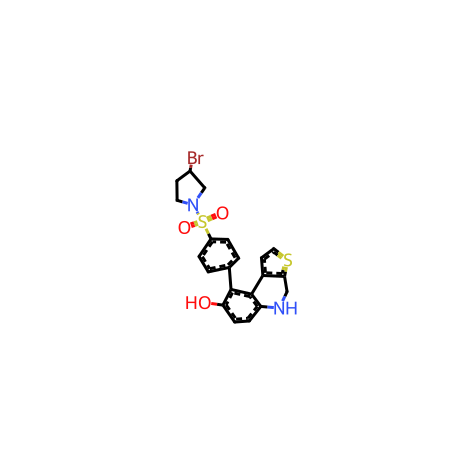 O=S(=O)(c1ccc(-c2c(O)ccc3c2-c2ccsc2CN3)cc1)N1CCC(Br)C1